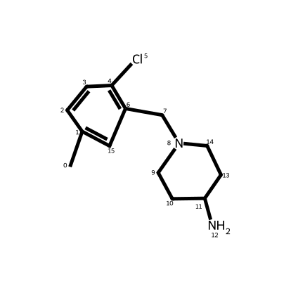 Cc1ccc(Cl)c(CN2CCC(N)CC2)c1